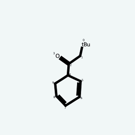 CC(C)(C)CC(=O)C1C=CC=CC1